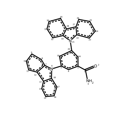 NC(=O)c1cc(-n2c3ccccc3c3ccccc32)cc(-n2c3ccccc3c3ccccc32)c1